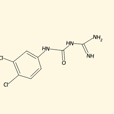 N=C(N)NC(=O)Nc1ccc(Cl)c(Cl)c1